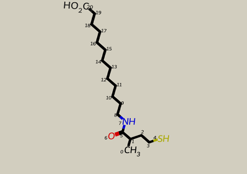 CC(CCS)C(=O)NCCCCCCCCCCCCC(=O)O